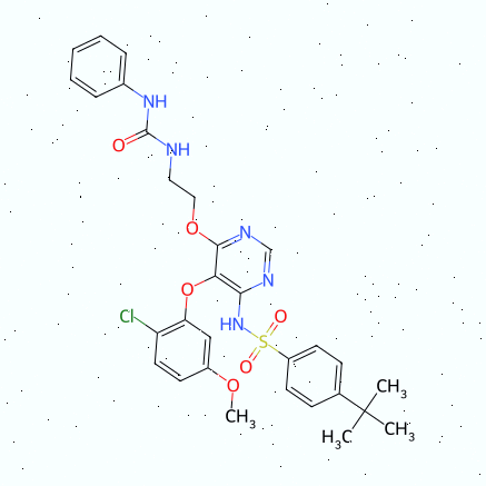 COc1ccc(Cl)c(Oc2c(NS(=O)(=O)c3ccc(C(C)(C)C)cc3)ncnc2OCCNC(=O)Nc2ccccc2)c1